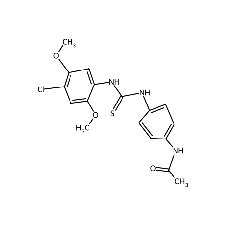 COc1cc(NC(=S)Nc2ccc(NC(C)=O)cc2)c(OC)cc1Cl